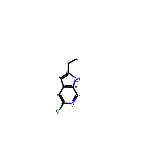 CCc1cc2cc(Cl)ncc2[nH]1